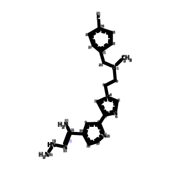 CN(CCn1cnc(-c2cc(/C(N)=N/NN)ccn2)c1)Cc1ccc(F)cc1